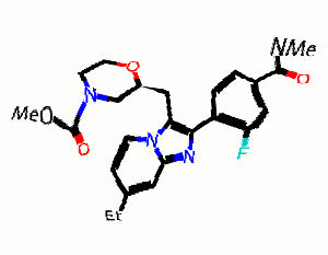 CCc1ccn2c(C[C@H]3CN(C(=O)OC)CCO3)c(-c3ccc(C(=O)NC)cc3F)nc2c1